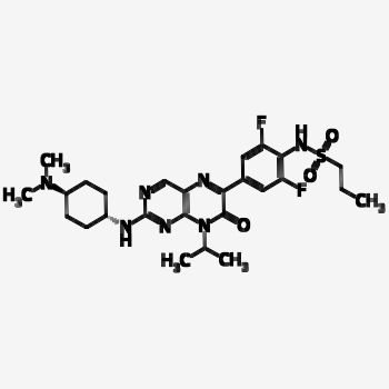 CCCS(=O)(=O)Nc1c(F)cc(-c2nc3cnc(N[C@H]4CC[C@H](N(C)C)CC4)nc3n(C(C)C)c2=O)cc1F